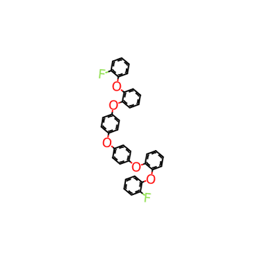 Fc1ccccc1Oc1ccccc1Oc1ccc(Oc2ccc(Oc3ccccc3Oc3ccccc3F)cc2)cc1